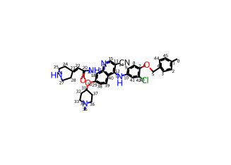 Cc1ccc(COc2ccc(Nc3c(C#N)cnc4c(NC(=O)C=C5CCNCC5)c(OC5CCN(C)CC5)ccc34)cc2Cl)cc1